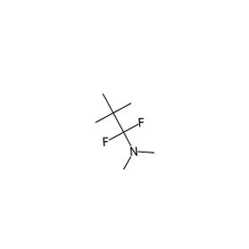 CN(C)C(F)(F)C(C)(C)C